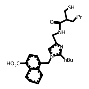 CCCCc1nc(CNC(=O)C(CS)CC(C)C)cn1Cc1ccc(C(=O)O)c2ccccc12